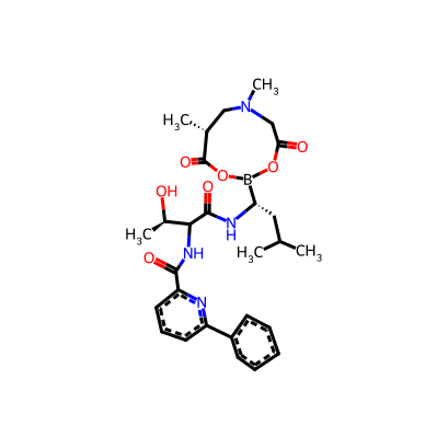 CC(C)C[C@H](NC(=O)C(NC(=O)c1cccc(-c2ccccc2)n1)[C@@H](C)O)B1OC(=O)CN(C)C[C@@H](C)C(=O)O1